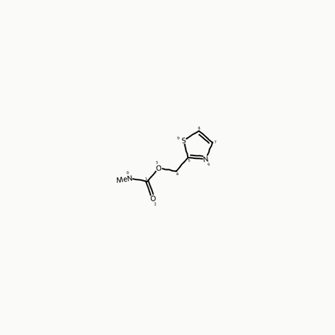 CNC(=O)OCc1nccs1